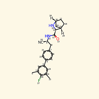 Cc1cc(-c2ccc(C[C@@H](C#N)NC(=O)[C@H]3N[C@@H]4CC[C@H]3C4)cc2)cc(C)c1F